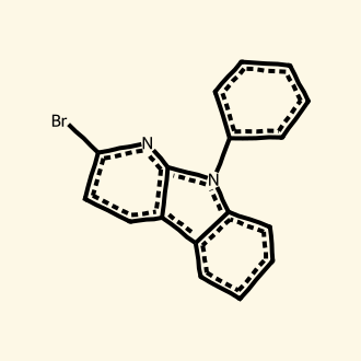 Brc1ccc2c3ccccc3n(-c3ccccc3)c2n1